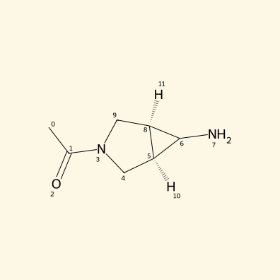 CC(=O)N1C[C@@H]2C(N)[C@@H]2C1